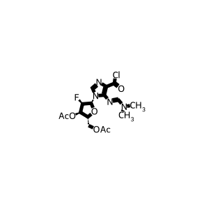 CC(=O)OC[C@H]1O[C@@H](n2cnc(C(=O)Cl)c2/N=C/N(C)C)[C@H](F)[C@@H]1OC(C)=O